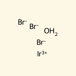 O.[Br-].[Br-].[Br-].[Ir+3]